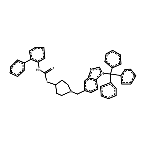 O=C(Nc1ccccc1-c1ccccc1)OC1CCN(Cc2ccc3c(c2)ncn3C(c2ccccc2)(c2ccccc2)c2ccccc2)CC1